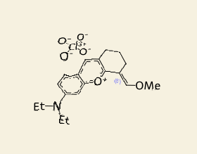 CCN(CC)c1ccc2cc3c([o+]c2c1)/C(=C/OC)CCC3.[O-][Cl+3]([O-])([O-])[O-]